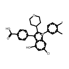 Cc1cc(-n2c(C3CCOCC3)c(-c3ccc(C(=O)O)cc3)c3c(O)cc(Cl)cc32)ccc1F